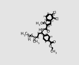 CCOC(=O)c1ccc(C(CCN(C)SNC)NC(=O)c2cc3c(Cl)c(Cl)ccc3n2C)cc1